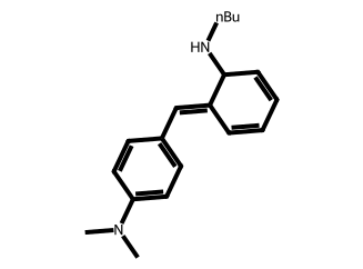 CCCCNC1C=CC=CC1=Cc1ccc(N(C)C)cc1